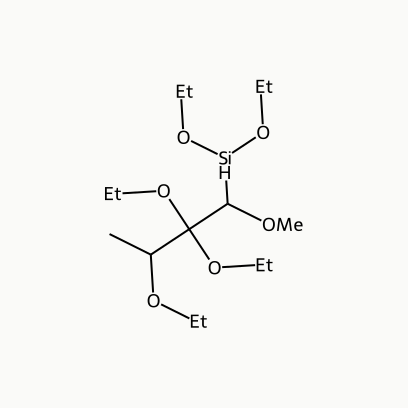 CCOC(C)C(OCC)(OCC)C(OC)[SiH](OCC)OCC